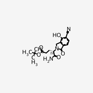 CC(C)(C)OC(=O)CC[C@@H](C(N)=O)N1Cc2c(ccc(C#N)c2O)C1=O